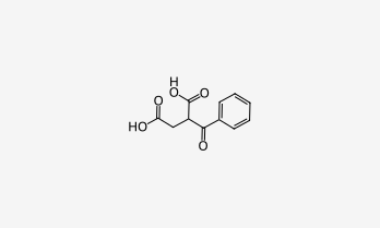 O=C(O)CC(C(=O)O)C(=O)c1ccccc1